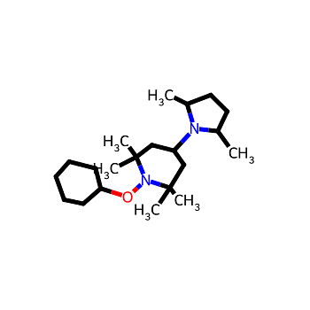 CC1CCC(C)N1C1CC(C)(C)N(OC2CCCCC2)C(C)(C)C1